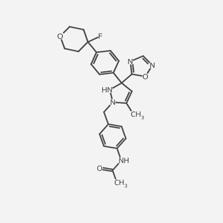 CC(=O)Nc1ccc(CN2NC(c3ccc(C4(F)CCOCC4)cc3)(c3ncno3)C=C2C)cc1